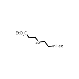 CCCCCCC[CH2][Sb][CH2]CC(=O)OCC